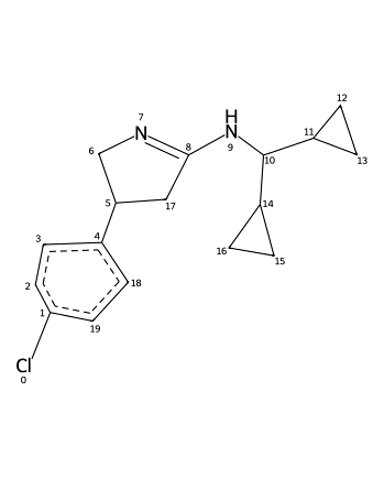 Clc1ccc(C2CN=C(NC(C3CC3)C3CC3)C2)cc1